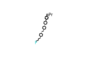 CCCc1ccc(C2CCC([C@H]3CC[C@H](CC[C@H]4CC[C@H](CCCCF)CC4)CC3)CC2)cc1